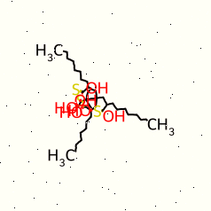 CCCCCCCCC(CC(CC(CCCCCCCC)C(O)=S)(CC(CCCCCCCC)C(O)=S)C(CO)(CO)CCO)C(O)=S